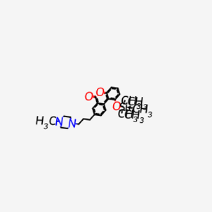 CN1CCN(CCCc2ccc3c(c2)c(=O)oc2cccc(O[Si](C)(C)C(C)(C)C)c23)CC1